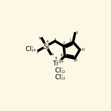 CC1=C(C[Si](C)(C)C)[C]([Ti+3])=CC1.[Cl-].[Cl-].[Cl-]